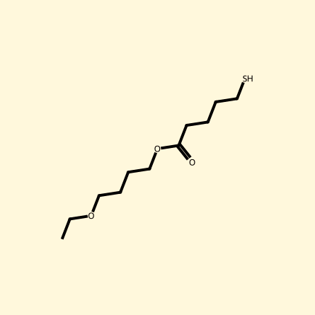 CCOCCCCOC(=O)CCCCS